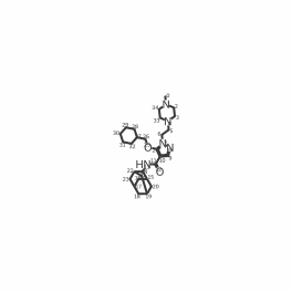 CN1CCN(CCn2ncc(C(=O)NC3C4CC5CC(C4)CC3C5)c2OCC2CCCCC2)CC1